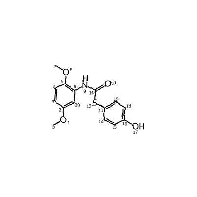 COc1ccc(OC)c(NC(=O)Sc2ccc(O)cc2)c1